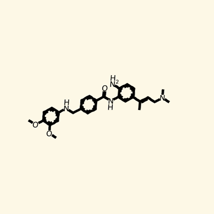 COc1ccc(NCc2ccc(C(=O)Nc3cc(/C(C)=C/CN(C)C)ccc3N)cc2)cc1OC